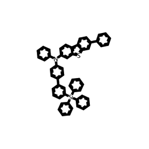 c1ccc(-c2ccc3c(c2)sc2cc(N(c4ccccc4)c4ccc(-c5cccc([Si](c6ccccc6)(c6ccccc6)c6ccccc6)c5)cc4)ccc23)cc1